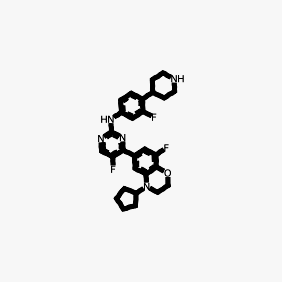 Fc1cc(Nc2ncc(F)c(-c3cc(F)c4c(c3)N(C3CCCC3)CCO4)n2)ccc1C1CCNCC1